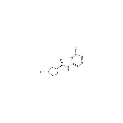 O=C(Nc1cncc(Cl)n1)[C@H]1CC[C@H](F)C1